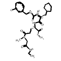 CCNC(=O)CN(C)C(=O)CC[C@H](NC(=O)[C@H](CC1CCCCC1)NC(=O)OCc1cccc(Cl)c1)C(=O)OC